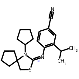 CC(C)c1cc(C#N)ccc1/N=C1/SCC2(CCCC2)N1C1CCCC1